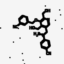 BN(Cc1cnc(CO)c(OCc2cccc(C#N)c2)c1CO)c1ccc(C#N)cc1